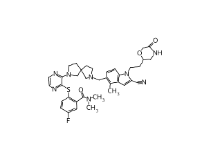 Cc1c(CN2CCC3(CCN(c4nccnc4Sc4ccc(F)cc4C(=O)N(C)C)C3)C2)ccc2c1cc(C#N)n2CCC1CNC(=O)CO1